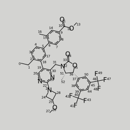 CCc1ccc(-c2ccc(C(=O)OC)cc2C)cc1-c1cnc(N2CC(OC)C2)nc1CN1C(=O)O[C@H](c2cc(C(F)(F)F)cc(C(F)(F)F)c2)[C@@H]1C